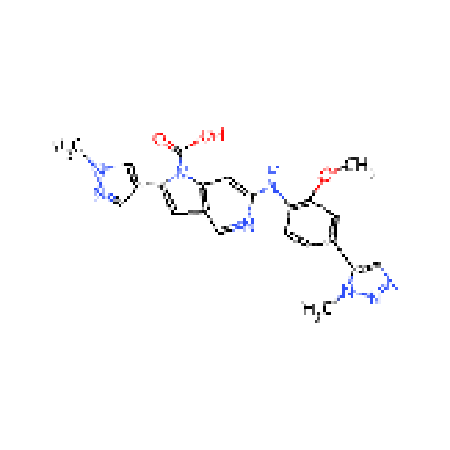 COc1cc(-c2cnnn2C)ccc1Nc1cc2c(cn1)cc(-c1cnn(C)c1)n2C(=O)O